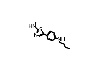 CCCCNc1ccc(-c2cnc(NC)s2)cc1